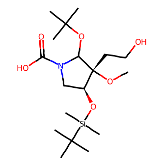 CO[C@@]1(CCO)C(OC(C)(C)C)N(C(=O)O)C[C@@H]1O[Si](C)(C)C(C)(C)C